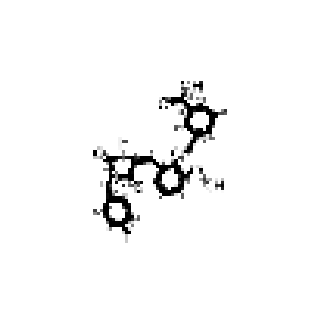 COc1cccc(C=C2NC(=O)N(Cc3ccc(F)cc3)C2=O)c1OCc1cccc(C(=O)O)c1